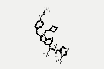 CCOc1ccc(Cc2cc3cc(N(C)S(=O)(=O)c4cncn4C)cnc3n2CC2CCC2)cc1